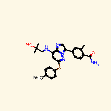 COc1ccc(Sc2cc(NCC(C)(C)O)c3ncc(-c4ccc(C(N)=O)c(C)c4)n3n2)cc1